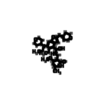 CCc1c(N(CC)C2CCOCC2)cc2oc(CN3CCOCC3)cc2c1C(O)NCc1c(OC)cc(C)[nH]c1=O